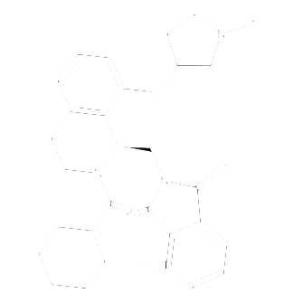 CC(=O)N1CCC(Oc2cccc3c2[C@@H](CN2C(=O)c4ccccc4C2=O)N(C(=O)C2CCCC[C@H]2C(=O)O)CC3)C1